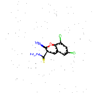 N=c1oc2c(Cl)cc(Cl)cc2cc1C(N)=S